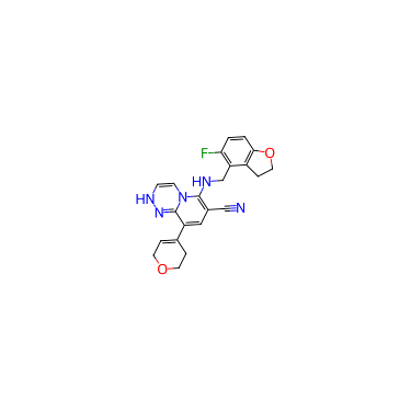 N#CC1=C(NCc2c(F)ccc3c2CCO3)N2C=CNN=C2C(C2=CCOCC2)=C1